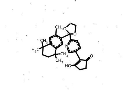 Cc1cc2c(cc1C1(c3ccc(C4=C(O)CCC4=O)cn3)OCCO1)C(C)(C)CCC2(C)C